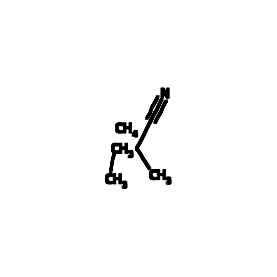 C.CC.CCC#N